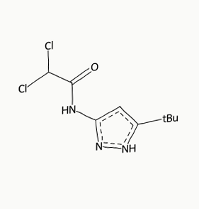 CC(C)(C)c1cc(NC(=O)C(Cl)Cl)n[nH]1